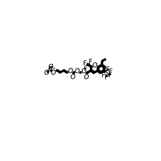 CCc1cc(S(F)(F)(F)(F)F)cc2c1OC(C(F)(F)F)C(C(=O)OCOC(=O)OCCCCO[N+](=O)[O-])=C2